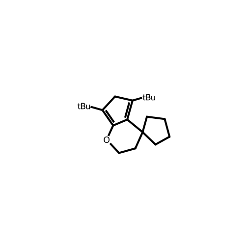 CC(C)(C)C1=C2OCCC3(CCCC3)C2=C(C(C)(C)C)C1